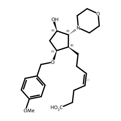 COc1ccc(CO[C@H]2C[C@@H](O)[C@H](N3CCOCC3)[C@H]2CC/C=C\CCC(=O)O)cc1